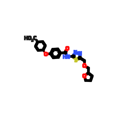 O=C(Nc1nnc(COCC2CCCO2)s1)c1ccc(O[C@H]2CC[C@H](C(=O)O)CC2)cc1